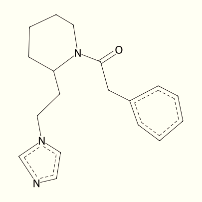 O=C(Cc1ccccc1)N1CCCCC1CCn1ccnc1